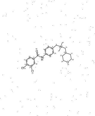 C[N+](C)(Cc1ccc(NC(=O)c2ccc(Cl)c(Cl)c2)cc1)CC1CCOCC1